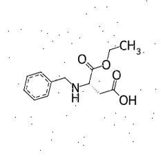 CCOC(=O)[C@H](CC(=O)O)NCc1ccccc1